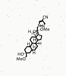 COC[C@@]1(O)CC[C@H]2[C@H](CC[C@@H]3[C@@H]2CC[C@@]2(C)[C@H]3CC[C@@H]2[C@@](C)(Cn2cc(C#N)cn2)OC)C1